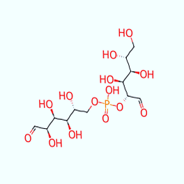 O=C[C@H](OP(=O)(O)OC[C@@H](O)[C@@H](O)[C@H](O)[C@@H](O)C=O)[C@@H](O)[C@H](O)[C@H](O)CO